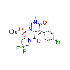 CN(C)C(=O)[C@@H](c1ccc(Br)cc1)C(NC(=O)OC(C)(C)C)C(=O)N1CCC(F)(F)C1